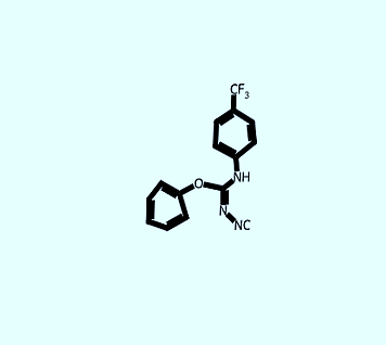 [C-]#[N+]/N=C(\Nc1ccc(C(F)(F)F)cc1)Oc1ccccc1